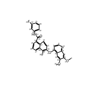 COc1cc2nccc(Oc3ccc4c(C(=O)Nc5cccc(F)c5)cccc4c3F)c2cc1OC